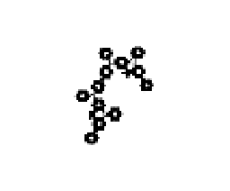 CC1(C)c2cc(-c3ccccc3)ccc2N(c2ccccc2)c2ccc(N(c3ccccc3)c3ccc(-c4ccc(N(c5ccccc5)c5ccc6c(c5)C(C)(C)c5cc(-c7ccccc7)ccc5N6c5ccccc5)cc4)cc3)cc21